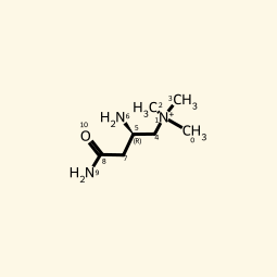 C[N+](C)(C)C[C@H](N)CC(N)=O